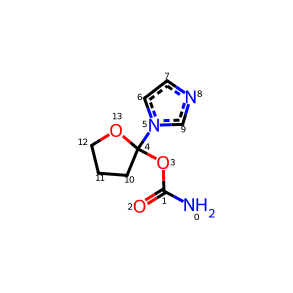 NC(=O)OC1(n2ccnc2)CCCO1